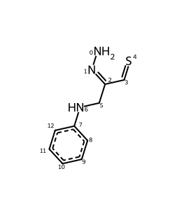 NN=C(C=S)CNc1ccccc1